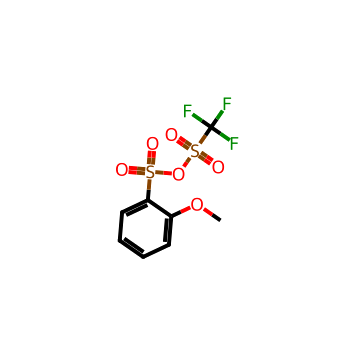 COc1ccccc1S(=O)(=O)OS(=O)(=O)C(F)(F)F